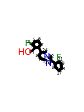 OCc1c(F)cccc1-c1ccc2nc(-c3ccccc3F)cn2c1